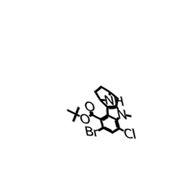 Cn1c2c(c3c(C(=O)OC(C)(C)C)c(Br)cc(Cl)c31)C1CCC(C2)N1